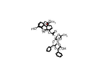 CC(=O)O[C@@H](CC(=O)OC1=CC[C@@]2(O)[C@H]3Cc4ccc(O)c5c4C2(CCN3C)[C@H]1O5)C(O)O[C@H](C(=O)O[C@H](C(=O)O)c1ccccc1)c1ccccc1